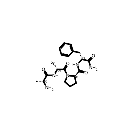 CC(C)[C@@H](NC(=O)[C@@H](C)N)C(=O)N1CCC[C@@H]1C(=O)N[C@H](Cc1ccccc1)C(N)=O